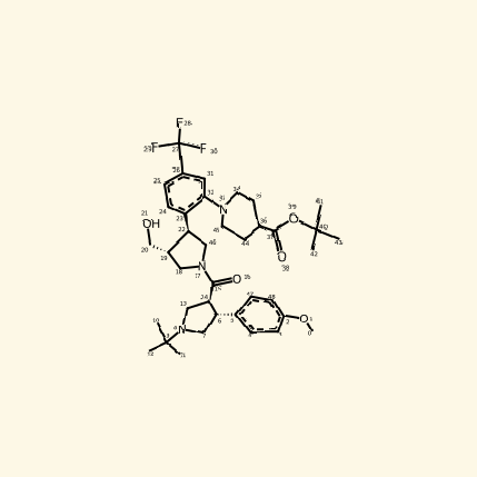 COc1ccc([C@@H]2CN(C(C)(C)C)C[C@H]2C(=O)N2C[C@H](CO)[C@@H](c3ccc(C(F)(F)F)cc3N3CCC(C(=O)OC(C)(C)C)CC3)C2)cc1